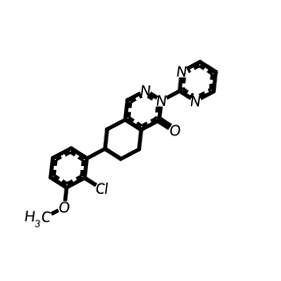 COc1cccc(C2CCc3c(cnn(-c4ncccn4)c3=O)C2)c1Cl